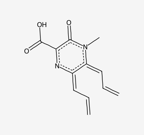 C=C/C=c1/nc(C(=O)O)c(=O)n(C)/c1=C/C=C